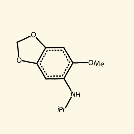 COc1cc2c(cc1NC(C)C)OCO2